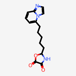 O=C1NC(CCCCCc2cccc3nccn23)OC1=O